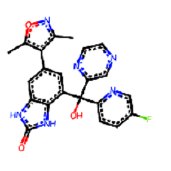 Cc1noc(C)c1-c1cc(C(O)(c2ccc(F)cn2)c2cnccn2)c2[nH]c(=O)[nH]c2c1